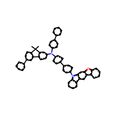 CC1(C)c2ccc(-c3ccccc3)cc2-c2ccc(N(c3ccc(-c4ccccc4)cc3)c3ccc(-c4ccc(-n5c6ccccc6c6cc7c(cc65)oc5ccccc57)cc4)cc3)cc21